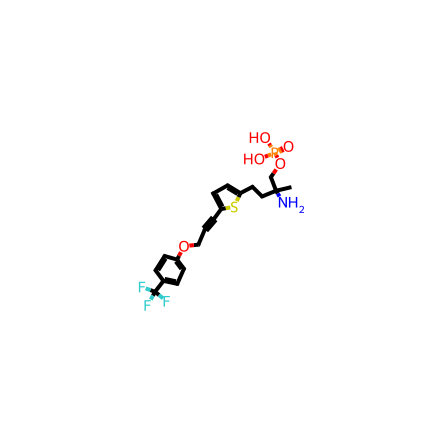 CC(N)(CCc1ccc(C#CCOc2ccc(C(F)(F)F)cc2)s1)COP(=O)(O)O